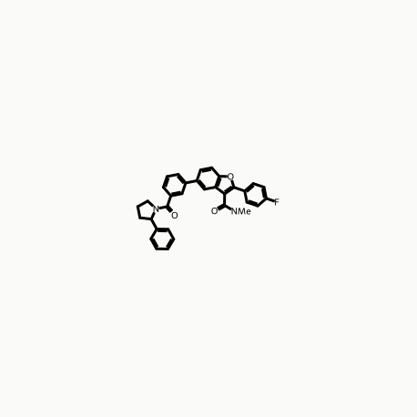 CNC(=O)c1c(-c2ccc(F)cc2)oc2ccc(-c3cccc(C(=O)N4CCCC4c4ccccc4)c3)cc12